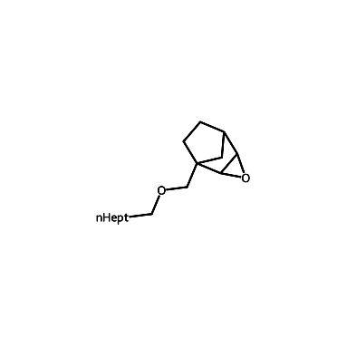 CCCCCCCCOCC12CCC(C1)C1OC12